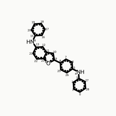 c1ccc(Nc2ccc(-c3cc4cc(Nc5ccccc5)ccc4o3)cc2)cc1